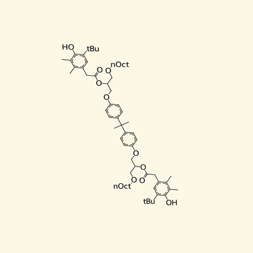 CCCCCCCCOCC(COc1ccc(C(C)(C)c2ccc(OCC(COCCCCCCCC)OC(=O)Cc3cc(C(C)(C)C)c(O)c(C)c3C)cc2)cc1)OC(=O)Cc1cc(C(C)(C)C)c(O)c(C)c1C